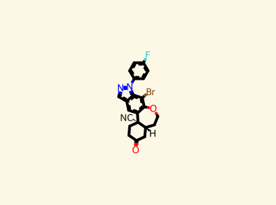 N#C[C@@]12CCC(=O)C[C@H]1CCOc1c2cc2cnn(-c3ccc(F)cc3)c2c1Br